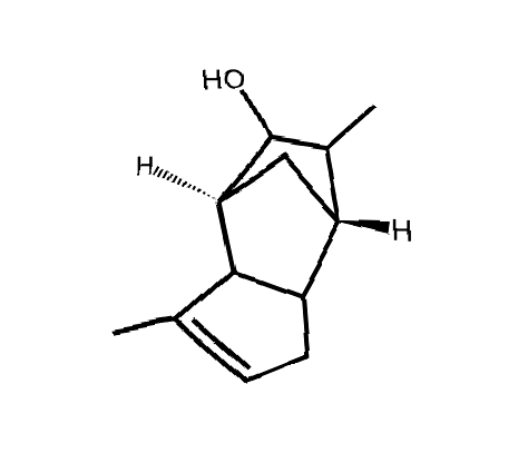 CC1=CCC2C1[C@@H]1C[C@@H]2C(C)C1O